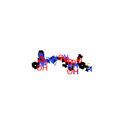 Cc1ncsc1-c1ccc([C@H](COCC(C)C)NC(=O)[C@@H]2C[C@@H](O)CN2C(=O)[C@H](c2cc(OCCN3CCN(CCOc4cc(N5C6CCC5CN(c5cc(-c7ccccc7O)nnc5N)C6)ccn4)CC3)no2)C(C)C)cc1